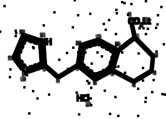 CCOC(=O)C1CCCc2cc(Cc3ncc[nH]3)ccc21.Cl